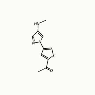 CNc1cnn(-c2csc(C(C)=O)c2)c1